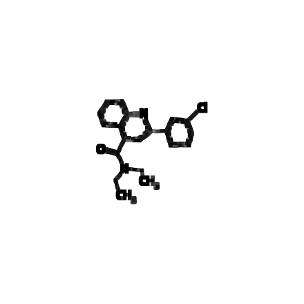 CCN(CC)C(=O)c1cc(-c2cccc(Cl)c2)nc2ccccc12